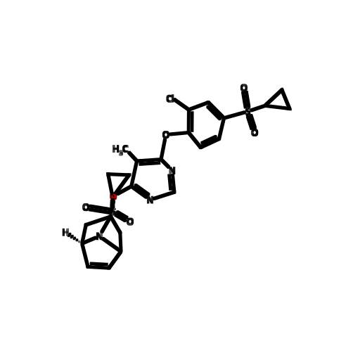 Cc1c(Oc2ccc(S(=O)(=O)C3CC3)cc2Cl)ncnc1O[C@H]1CC2C=C[C@@H](C1)N2S(=O)(=O)C1CC1